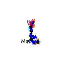 COc1cc(N2CCN(CCC3CCN(c4cc5c(cc4F)C(=O)N(C4CCC(=O)NC4=O)C5=O)CC3)CC2)c(-c2cnn(C)c2)cc1Nc1ncc(Br)c(Nc2ccc(F)cc2P(C)C)n1